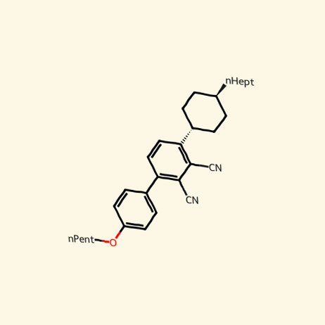 CCCCCCC[C@H]1CC[C@H](c2ccc(-c3ccc(OCCCCC)cc3)c(C#N)c2C#N)CC1